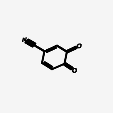 N#CC1=CC(=O)C(=O)C=C1